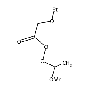 CCOCC(=O)OOC(C)OC